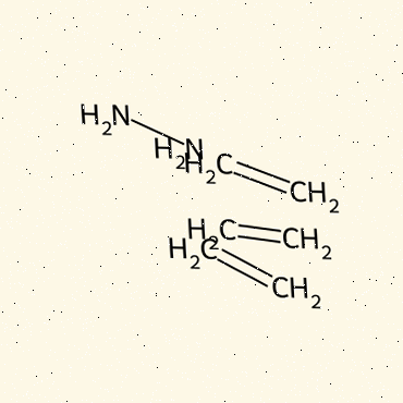 C=C.C=C.C=C.NN